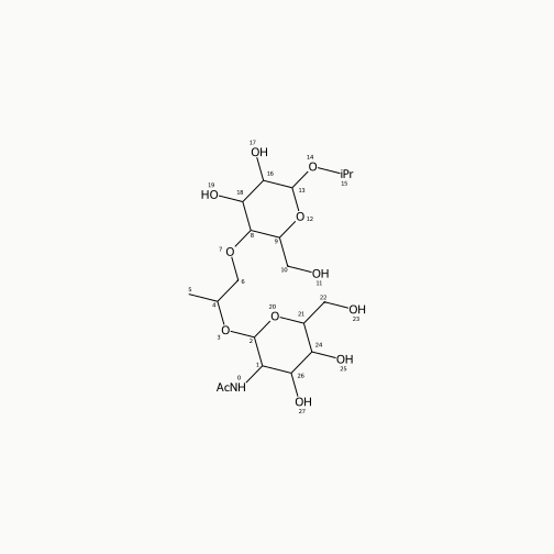 CC(=O)NC1C(OC(C)COC2C(CO)OC(OC(C)C)C(O)C2O)OC(CO)C(O)C1O